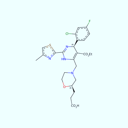 CCOC(=O)C1=C(CN2CCO[C@H](CCC(=O)O)C2)NC(c2nc(C)cs2)=N[C@H]1c1ccc(F)cc1Cl